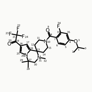 CC(C)Oc1ccc(C(=O)N2CCC3(CC2)c2cc(C(=O)C(F)(F)F)cn2C(C)(C)CN3C)c(F)c1